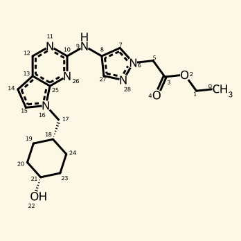 CCOC(=O)Cn1cc(Nc2ncc3ccn(C[C@H]4CC[C@@H](O)CC4)c3n2)cn1